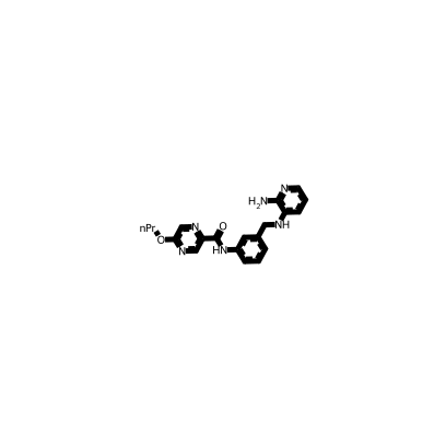 CCCOc1cnc(C(=O)Nc2cccc(CNc3cccnc3N)c2)cn1